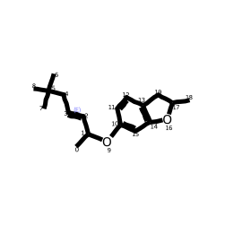 CC(/C=C/CC(C)(C)C)Oc1ccc2c(c1)OC(C)C2